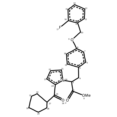 COC(=O)C(Cc1ccc(OCc2ccccc2F)cc1)n1cccc1C(=O)C1CCCCC1